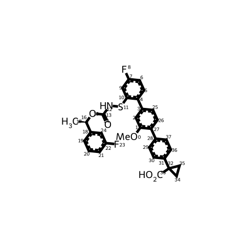 COc1cc(-c2ccc(F)cc2SNC(=O)O[C@H](C)c2cccc(F)c2)ccc1-c1ccc(C2(C(=O)O)CC2)cc1